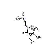 CCN(C(=O)/C(N)=C/C=C(\N)Cl)C(C)C